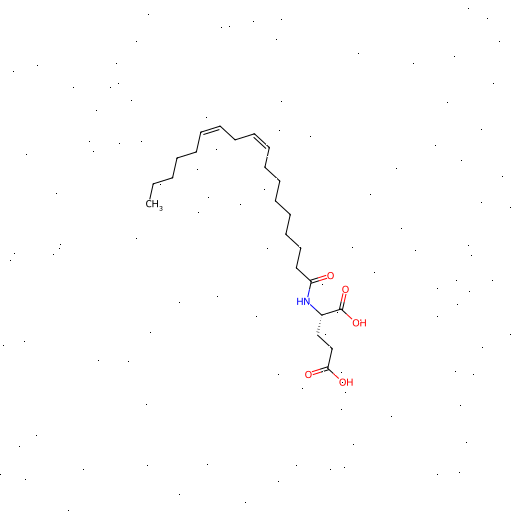 CCCCC/C=C\C/C=C\CCCCCCCC(=O)N[C@@H](CCC(=O)O)C(=O)O